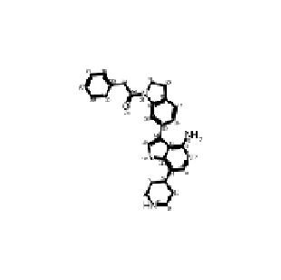 Nc1ncc(C2CCNCC2)c2scc(-c3ccc4c(c3)N(C(=O)Cc3ccccc3)CC4)c12